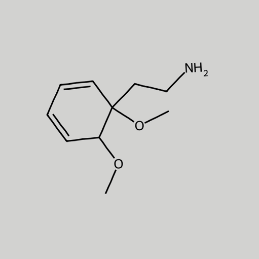 COC1C=CC=CC1(CCN)OC